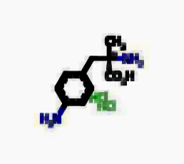 C[C@](N)(Cc1ccc(N)cc1)C(=O)O.Cl.Cl